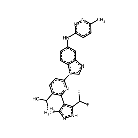 Cc1ccc(Nc2ccc3c(c2)ncn3-c2ccc(C(C)O)c(-c3c(C)n[nH]c3C(F)F)n2)nn1